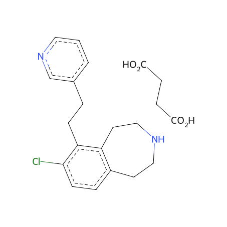 Clc1ccc2c(c1CCc1cccnc1)CCNCC2.O=C(O)CCC(=O)O